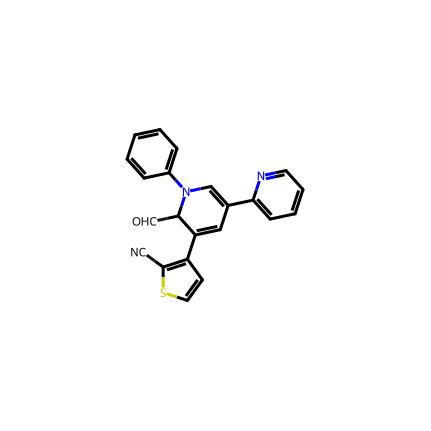 N#Cc1sccc1C1=CC(c2ccccn2)=CN(c2ccccc2)C1C=O